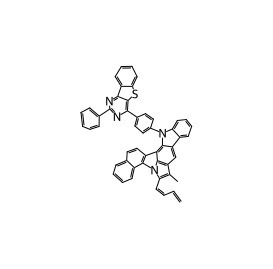 C=C/C=C\c1c(C)c2cc3c4ccccc4n(-c4ccc(-c5nc(-c6ccccc6)nc6c5sc5ccccc56)cc4)c3c3c4ccc5ccccc5c4n1c23